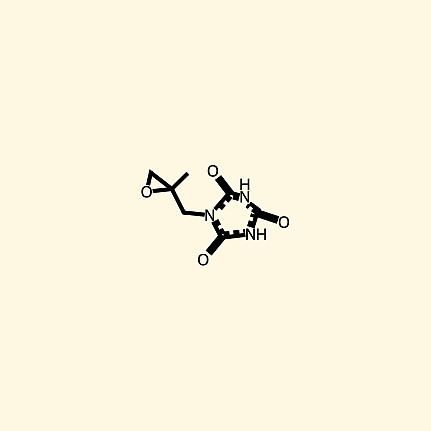 CC1(Cn2c(=O)[nH]c(=O)[nH]c2=O)CO1